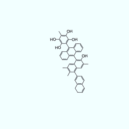 Cc1cc2c(-c3c4ccccc4c(-c4c(O)c(O)c(C)c(O)c4O)c4ccccc34)c(O)c(C)cc2c(-c2ccc3c(c2)CCC=C3)c1C